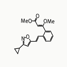 COC(=O)C=C(OC)c1ccccc1C=Cc1cc(C2CC2)no1